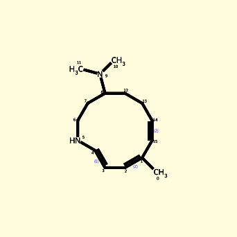 CC1=C/C=C/NCCC(N(C)C)CC/C=C\1